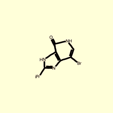 CC(C)c1nc2c(Br)c[nH]c(=O)c2[nH]1